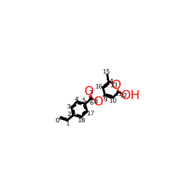 C=Cc1ccc(C(=O)OC2=CC(O)OC(C)=C2)cc1